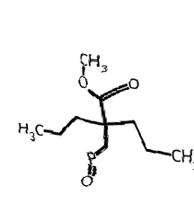 CCCC(CCC)(CP=O)C(=O)OC